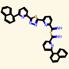 N=C(SC(=N)c1cccc(-c2cccc3ccccc23)n1)c1cccc(-c2nnc(-c3cccc(-c4cccc5ccccc45)n3)s2)n1